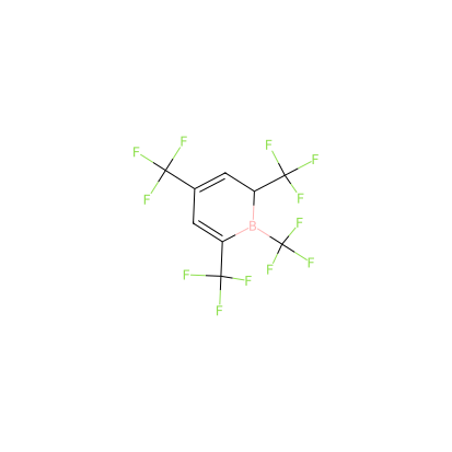 FC(F)(F)B1C(C(F)(F)F)=CC(C(F)(F)F)=CC1C(F)(F)F